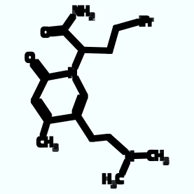 Cc1cc(=O)n(C(CCC(C)C)C(N)=O)cc1CCN(C)C